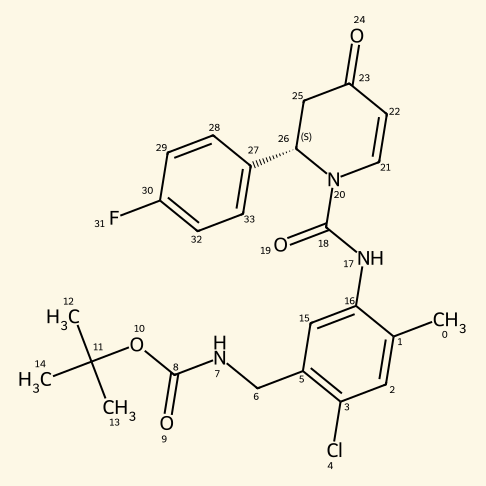 Cc1cc(Cl)c(CNC(=O)OC(C)(C)C)cc1NC(=O)N1C=CC(=O)C[C@H]1c1ccc(F)cc1